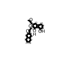 C(OCC1CO1)C1CO1.Oc1ccccc1.Oc1ccccc1.c1ccc2ccccc2c1